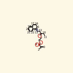 C=C(C)C(=O)OCCOC(CC)C/C=C1\CC=Cc2ccccc21